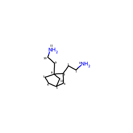 NCCC1CC2CCC1(CCN)C2